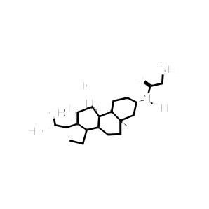 C[C@H](O)[C@H]1CCC2C3CC[C@H]4C[C@H](N(C)C(=O)CN)CC[C@]4(C)C3CC[C@@]21C.Cl